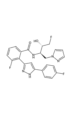 O=C(N[C@H](Cn1cccn1)[C@H](O)CF)c1cccc(F)c1-c1cc(-c2ccc(F)cc2)[nH]n1